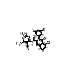 CC(Nc1nc(N)nc(N)c1C#N)c1cc2cccc(Cl)c2c(=O)n1-c1cc(F)cc(F)c1